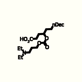 CCCCCCCCCCCCC(CCC(=O)O)OC(=O)OCCCN(CC)CC